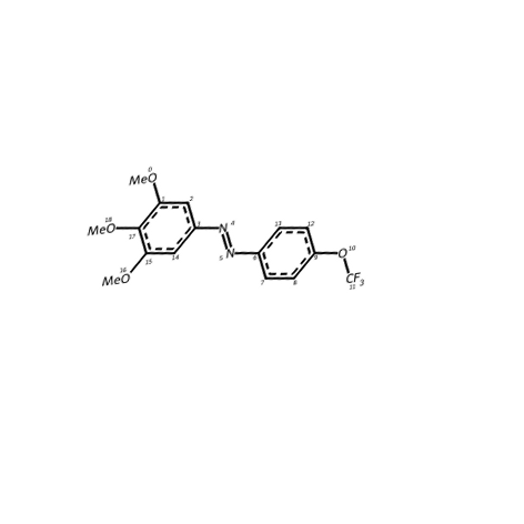 COc1cc(N=Nc2ccc(OC(F)(F)F)cc2)cc(OC)c1OC